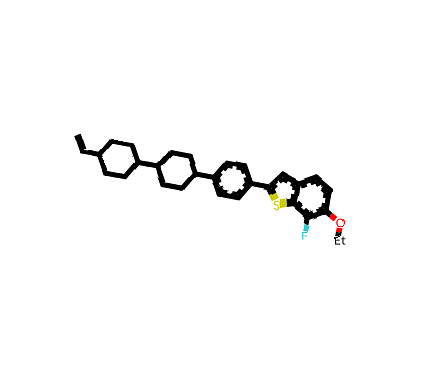 C=CC1CCC(C2CCC(c3ccc(-c4cc5ccc(OCC)c(F)c5s4)cc3)CC2)CC1